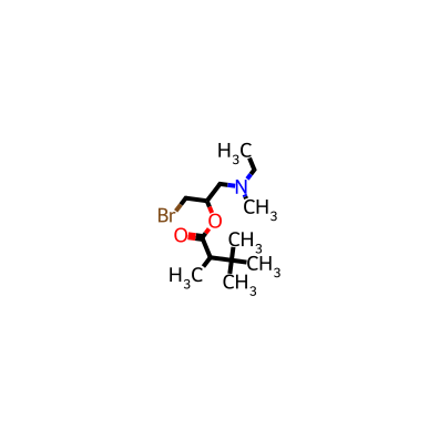 CCN(C)CC(CBr)OC(=O)C(C)C(C)(C)C